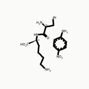 CC(C)C[C@H](N)C(=O)N[C@@H](CCCCN)C(=O)O.Nc1ccc([N+](=O)[O-])cc1